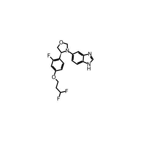 Fc1cc(OCCC(F)F)ccc1[C@H]1COCN1c1ccc2[nH]cnc2c1